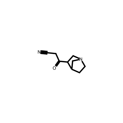 N#CCC(=O)C1CN2CCC1C2